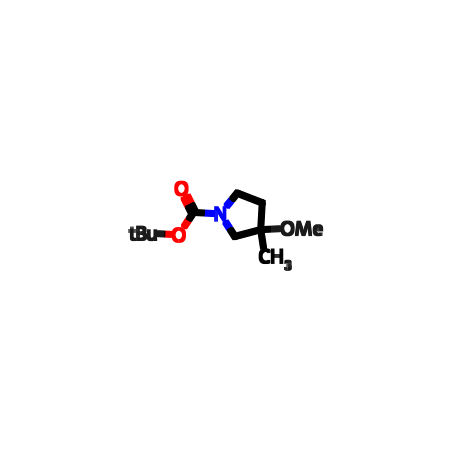 COC1(C)CCN(C(=O)OC(C)(C)C)C1